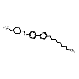 CCCCCCCCCc1ccc(-c2ccc(OC[C@H]3CC[C@H](CC)CC3)cc2)nc1